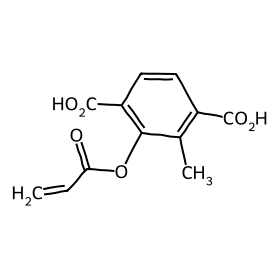 C=CC(=O)Oc1c(C(=O)O)ccc(C(=O)O)c1C